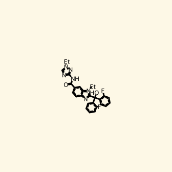 CCn1cnc(NC(=O)c2ccc3nc(C(O)(c4ccccc4F)c4ccccc4F)n(CC)c3c2)n1